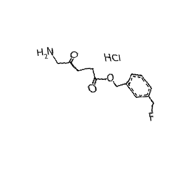 Cl.NCC(=O)CCC(=O)OCc1cccc(CF)c1